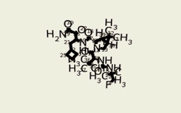 CC(C)(CF)NC(=O)N[C@H](C(=O)N1C[C@H]2[C@@H]([C@H]1C(=O)NC(CC1CCC1)C(=O)C(N)=O)C2(C)C)C(C)(C)C